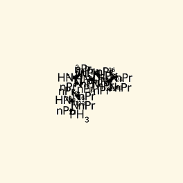 CCCN(CCC)C(=N)N(CCC)CCC.CCCN(CCC)C(=N)N(CCC)CCC.CCCN(CCC)C(=N)N(CCC)CCC.CCCN(CCC)C(=N)N(CCC)CCC.P